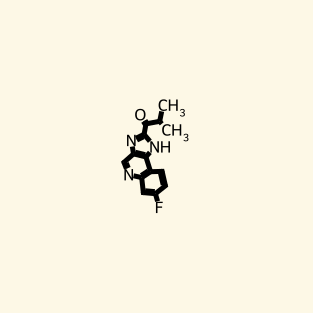 CC(C)C(=O)c1nc2cnc3cc(F)ccc3c2[nH]1